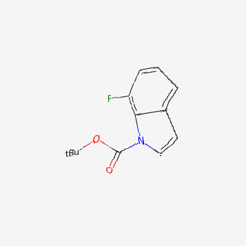 CC(C)(C)OC(=O)n1[c]cc2cccc(F)c21